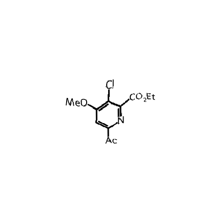 CCOC(=O)c1nc(C(C)=O)cc(OC)c1Cl